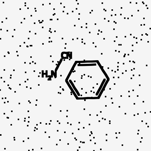 N#CN.c1ccccc1